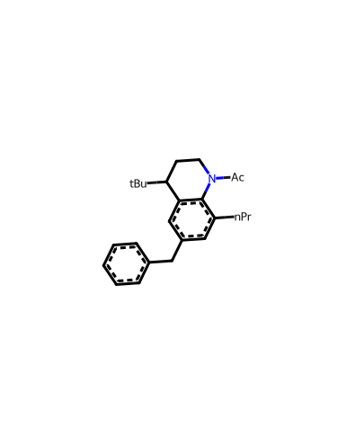 CCCc1cc(Cc2ccccc2)cc2c1N(C(C)=O)CCC2C(C)(C)C